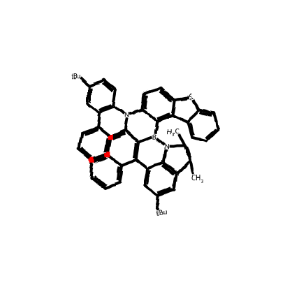 CC(C)(C)c1ccc(N2c3cc4ccccc4c4c3B(c3c2ccc2sc5ccccc5c32)N2c3c-4cc(C(C)(C)C)cc3C3(C)CCCCC23C)c(-c2ccccc2)c1